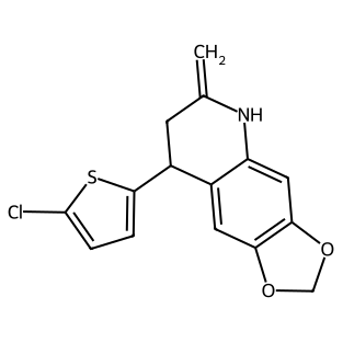 C=C1CC(c2ccc(Cl)s2)c2cc3c(cc2N1)OCO3